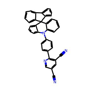 N#Cc1cnc(-c2ccc(N3c4ccccc4C4(c5ccccc5-c5ccccc54)c4ccccc43)cc2)c(C#N)c1